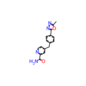 Cc1nnc(-c2ccc(Cc3ccnc(C(N)=O)c3)cc2)o1